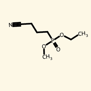 CCOP(=O)(CCCC#N)OC